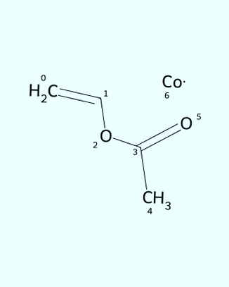 C=COC(C)=O.[Co]